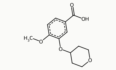 COc1ccc(C(=O)O)cc1OC1CCOCC1